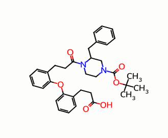 CC(C)(C)OC(=O)N1CCN(C(=O)CCc2ccccc2Oc2ccccc2CCC(=O)O)C(Cc2ccccc2)C1